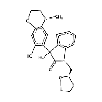 CN1CCOc2cc(O)c(C3(O)C(=O)N(C[C@H]4CCCO4)c4ccccc43)cc21